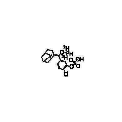 [2H]C([2H])([2H])OC(=C1C2CC3CC(C2)CC1C3)c1ccc(Cl)c(OS(=O)(=O)O)c1